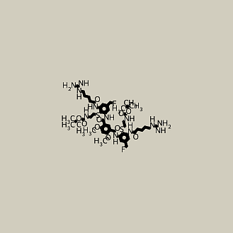 COc1cc(OC)c(C(=O)Nc2cc(CF)cc(NC(=O)CCCCNC(=N)N)c2SCCNC(=O)OC(C)(C)C)cc1C(=O)Nc1cc(CF)cc(NC(=O)CCCCNC(=N)N)c1SCCNC(=O)OC(C)(C)C